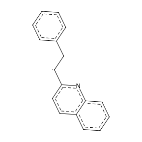 [CH](Cc1ccccc1)c1ccc2ccccc2n1